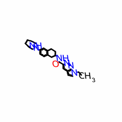 CCn1ccc2cc(C(=O)N[C@@H]3CCc4cc(N5CC6CCC(C5)N6)ccc4C3)nnc21